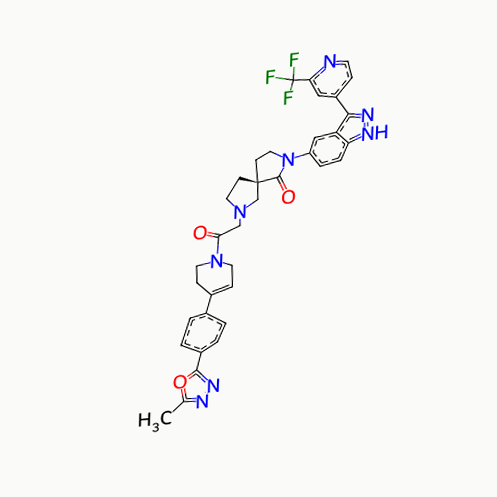 Cc1nnc(-c2ccc(C3=CCN(C(=O)CN4CC[C@]5(CCN(c6ccc7[nH]nc(-c8ccnc(C(F)(F)F)c8)c7c6)C5=O)C4)CC3)cc2)o1